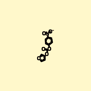 O=C(Oc1ccc([N+](=O)[O-])cc1)Oc1ccoc1